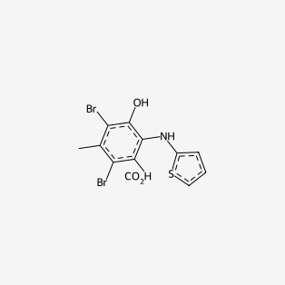 Cc1c(Br)c(O)c(Nc2cccs2)c(C(=O)O)c1Br